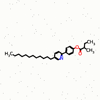 CCCCCCCCCCCCc1ccc(-c2ccc(OC(=O)C(C)CC)cc2)nc1